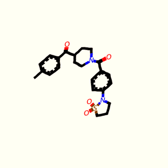 Cc1ccc(C(=O)C2CCN(C(=O)c3ccc(N4CCCS4(=O)=O)cc3)CC2)cc1